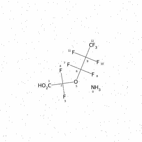 N.O=C(O)C(F)(F)OC(F)(F)C(F)(F)C(F)(F)F